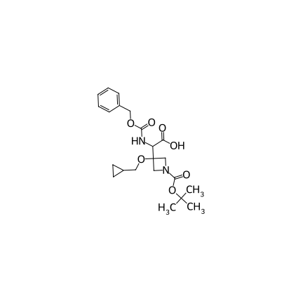 CC(C)(C)OC(=O)N1CC(OCC2CC2)(C(NC(=O)OCc2ccccc2)C(=O)O)C1